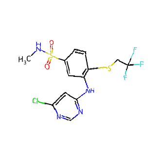 CNS(=O)(=O)c1ccc(SCC(F)(F)F)c(Nc2cc(Cl)ncn2)c1